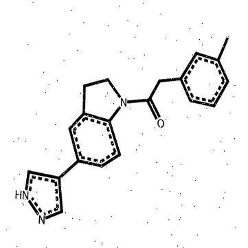 Cc1cccc(CC(=O)N2CCc3cc(-c4cn[nH]c4)ccc32)c1